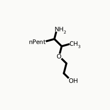 CCCCCC(N)C(C)OCCO